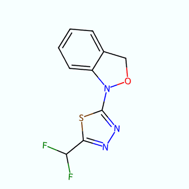 FC(F)c1nnc(N2OCc3ccccc32)s1